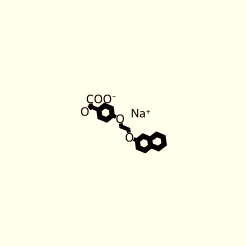 O=C([O-])C(=O)c1ccc(OCCOc2ccc3ccccc3c2)cc1.[Na+]